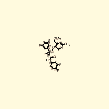 COCc1nc(C)ncc1OC[C@@]1(c2cc(F)cc(F)c2)C[C@H]1C(=O)Nc1ccc(F)c(F)c1